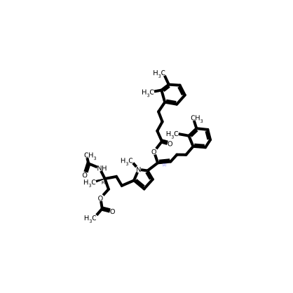 CC(=O)N[C@](C)(CCc1ccc(/C(=C/CCc2cccc(C)c2C)OC(=O)CCCc2cccc(C)c2C)n1C)COC(C)=O